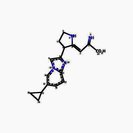 N=C(/C=C1\NCCC1c1cn2cc(C3CC3)ccc2n1)C(=O)O